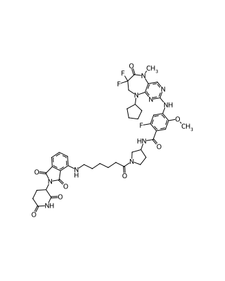 COc1cc(C(=O)NC2CCN(C(=O)CCCCCNc3cccc4c3C(=O)N(C3CCC(=O)NC3=O)C4=O)C2)c(F)cc1Nc1ncc2c(n1)N(C1CCCC1)CC(F)(F)C(=O)N2C